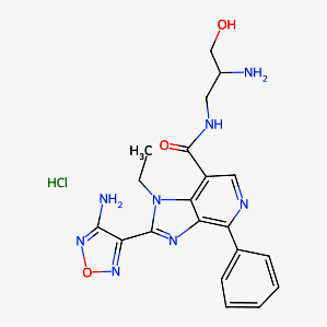 CCn1c(-c2nonc2N)nc2c(-c3ccccc3)ncc(C(=O)NCC(N)CO)c21.Cl